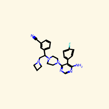 N#Cc1cccc(C(CN2CCC2)N2CCN(c3ncnc(N)c3-c3ccc(F)cc3)CC2)c1